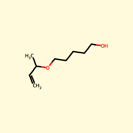 C=CC(C)OCCCCCO